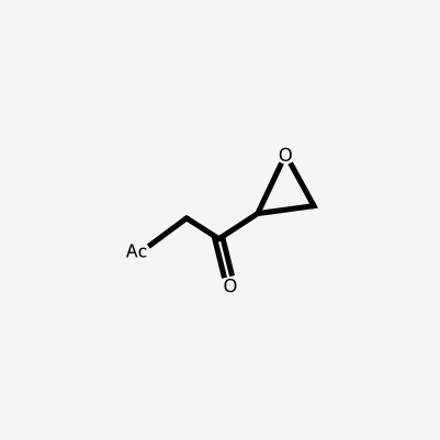 CC(=O)CC(=O)C1CO1